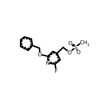 CS(=O)(=O)OCc1cc(F)nc(OCc2ccccc2)c1